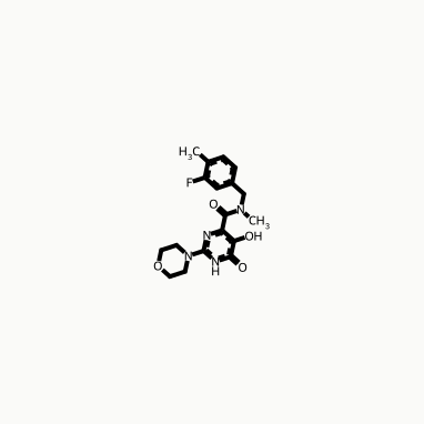 Cc1ccc(CN(C)C(=O)c2nc(N3CCOCC3)[nH]c(=O)c2O)cc1F